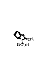 CC[C@H](O)n1c(C)nc2ccccc21